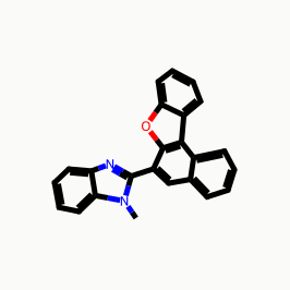 Cn1c(-c2cc3ccccc3c3c2oc2ccccc23)nc2ccccc21